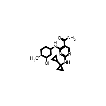 C[C@@H]1CCC(Nc2nc(NC3(C4CC4)CC3)ncc2C(N)=O)C[C@H]1O